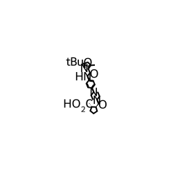 Cc1oc(C(C)(C)C)nc1C(=O)Nc1ccc(N2CCN(C(=O)[C@H]3CCC[C@@H]3C(=O)O)CC2)cc1